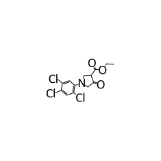 CCOC(=O)C1CN(c2cc(Cl)c(Cl)cc2Cl)CC1=O